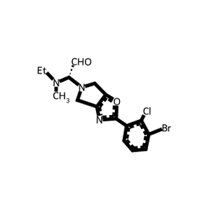 CCN(C)[C@H](C=O)N1Cc2nc(-c3cccc(Br)c3Cl)oc2C1